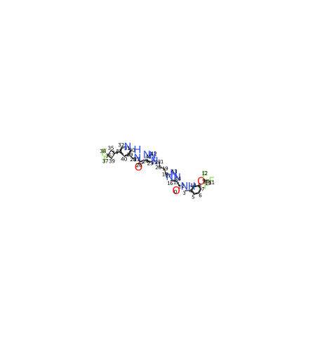 O=C(NCc1cccc(OC(F)(F)F)c1)c1cn(CCCCn2cc(C(=O)NCc3cncc(C4CC(F)(F)C4)c3)nn2)nn1